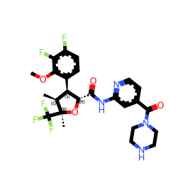 COc1c([C@H]2[C@H](C(=O)Nc3cc(C(=O)N4CCNCC4)ccn3)O[C@@](C)(C(F)(F)F)[C@H]2C)ccc(F)c1F